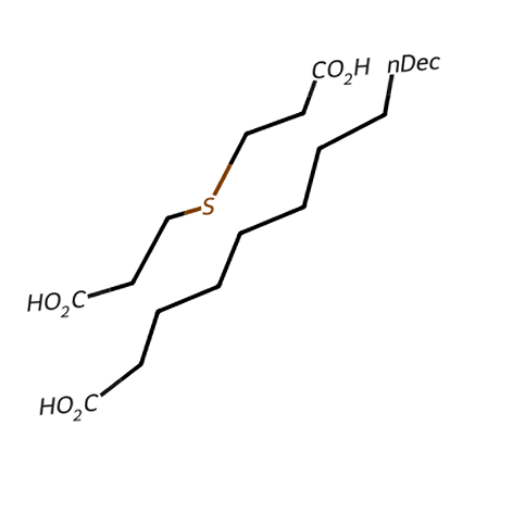 CCCCCCCCCCCCCCCCCC(=O)O.O=C(O)CCSCCC(=O)O